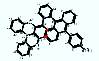 CC(C)(C)c1ccc(-c2c3ccccc3c(-c3ccccc3-c3ccc4c5c3Oc3ccccc3B5c3ccccc3O4)c3ccccc23)cc1